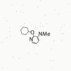 CNc1cccnc1OC1CCCCC1